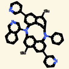 CC(C)(C)c1cc2cc3c1cc(-c1cccnc1)cc3n(-c1ccccc1)c1cc(C(C)(C)C)c3cc(-c4cccnc4)cc(c3c1)n2-c1cncc2ccccc12